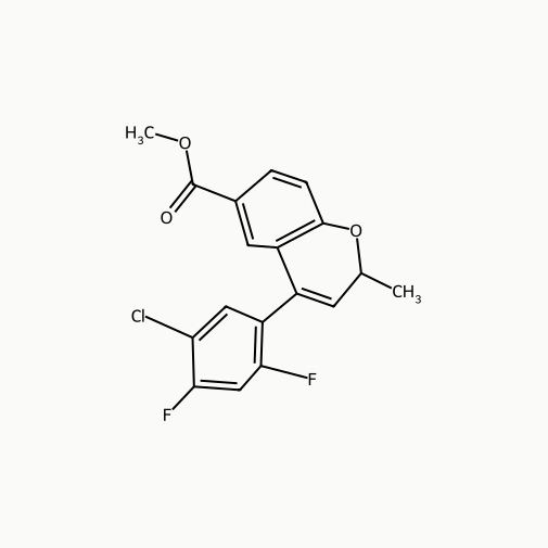 COC(=O)c1ccc2c(c1)C(c1cc(Cl)c(F)cc1F)=CC(C)O2